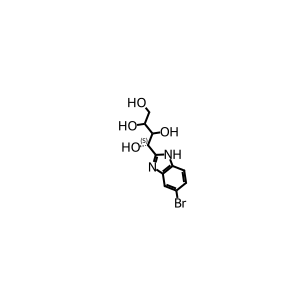 OCC(O)C(O)[C@@H](O)c1nc2cc(Br)ccc2[nH]1